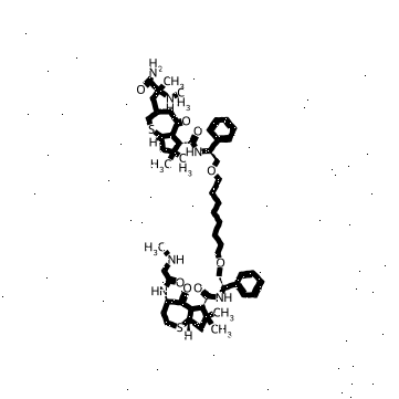 CNCC(=O)N[C@H]1CCS[C@H]2CC(C)(C)[C@@H](C(=O)N[C@H](COCCCCCCCCOC[C@@H](NC(=O)[C@H]3C4C(=O)CC(CC(C)(NC)C(N)=O)CS[C@H]4CC3(C)C)c3ccccc3)c3ccccc3)C2C1=O